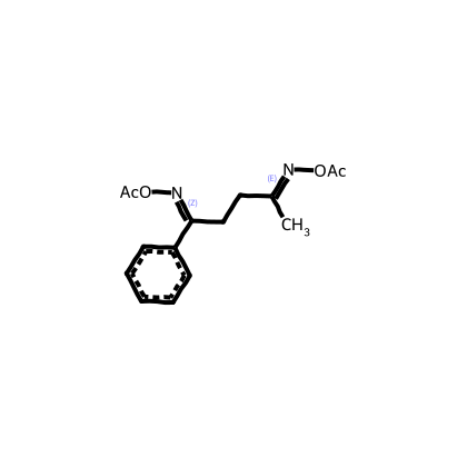 CC(=O)O/N=C(/CC/C(C)=N/OC(C)=O)c1ccccc1